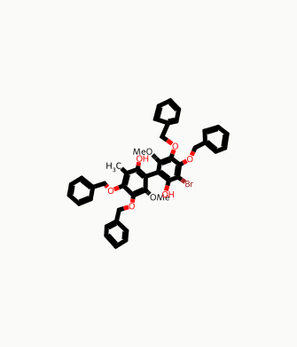 COc1c(OCc2ccccc2)c(OCc2ccccc2)c(C)c(O)c1-c1c(O)c(Br)c(OCc2ccccc2)c(OCc2ccccc2)c1OC